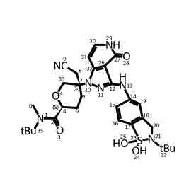 CN(C(=O)[C@@H]1CC[C@@](CC#N)(n2nc(Nc3ccc4c(c3)CN(C(C)(C)C)S4(O)O)c3c(=O)[nH]ccc32)CO1)C(C)(C)C